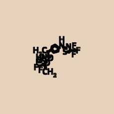 C=CC(C(F)(F)F)S(=O)(=O)NC(=O)C(C)c1ccc(Nc2nc(C(F)(F)F)cs2)cc1